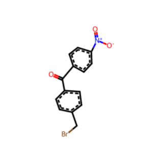 O=C(c1ccc(CBr)cc1)c1ccc([N+](=O)[O-])cc1